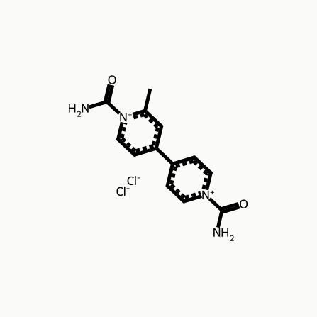 Cc1cc(-c2cc[n+](C(N)=O)cc2)cc[n+]1C(N)=O.[Cl-].[Cl-]